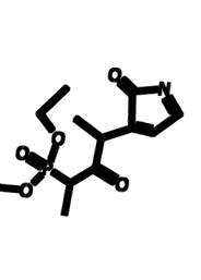 CCOP(=O)(OCC)C(C)C(=O)C(C)C1=CC=NC1=O